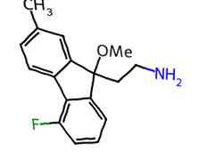 COC1(CCN)c2cc(C)ccc2-c2c(F)cccc21